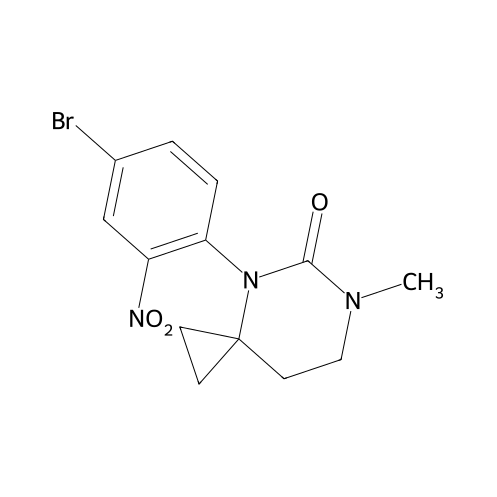 CN1CCC2(CC2)N(c2ccc(Br)cc2[N+](=O)[O-])C1=O